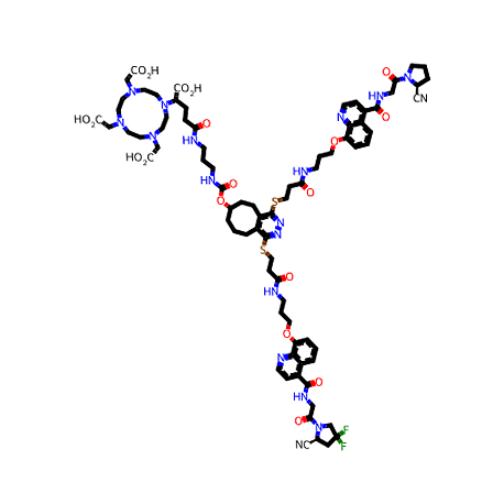 N#C[C@@H]1CCCN1C(=O)CNC(=O)c1ccnc2c(OCCCNC(=O)CCSc3nnc(SCCC(=O)NCCCOc4cccc5c(C(=O)NCC(=O)N6CC(F)(F)C[C@H]6C#N)ccnc45)c4c3CCC(OC(=O)NCCCNC(=O)CCC(C(=O)O)N3CCN(CC(=O)O)CCN(CC(=O)O)CCN(CC(=O)O)CC3)CCC4)cccc12